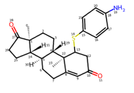 C[C@]12CC[C@H]3[C@@H](CCC4=CC(=O)CC(Sc5ccc(N)cc5)[C@@]43C)[C@@H]1CCC2=O